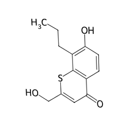 CCCc1c(O)ccc2c(=O)cc(CO)sc12